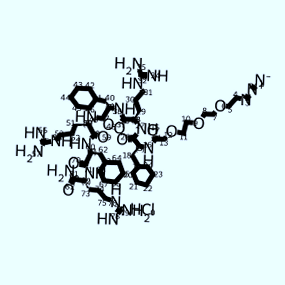 Cl.[N-]=[N+]=NCCOCCOCCOCC(=O)N[C@@H](CC1CCCCC1)C(=O)N[C@H](CCCNC(=N)N)C(=O)N[C@@H](CC1CCCCC1)C(=O)N[C@H](CCCNC(=N)N)C(=O)N[C@@H](CC1CCCCC1)C(=O)N[C@H](CCCNC(=N)N)C(N)=O